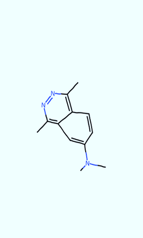 Cc1nnc(C)c2cc(N(C)C)ccc12